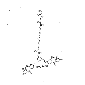 C=C1C[C@H]2C=Nc3cc(OCc4cc(CNC(=O)CCOCCOCCOCCONC(=O)CCNC(=O)CBr)cc(COc5cc6c(cc5OC)C(=O)N5CC(=C)C[C@H]5C=N6)c4)c(OC)cc3C(=O)N2C1